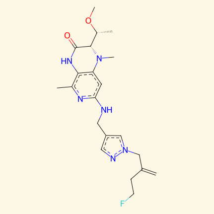 C=C(CCF)Cn1cc(CNc2cc3c(c(C)n2)NC(=O)[C@H]([C@@H](C)OC)N3C)cn1